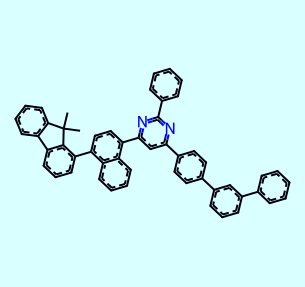 CC1(C)c2ccccc2-c2cccc(-c3ccc(-c4cc(-c5ccc(-c6cccc(-c7ccccc7)c6)cc5)nc(-c5ccccc5)n4)c4ccccc34)c21